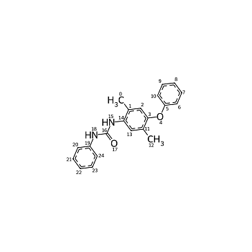 Cc1cc(Oc2ccccc2)c(C)cc1NC(=O)Nc1ccccc1